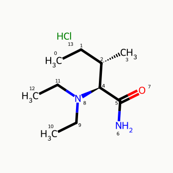 CC[C@H](C)[C@@H](C(N)=O)N(CC)CC.Cl